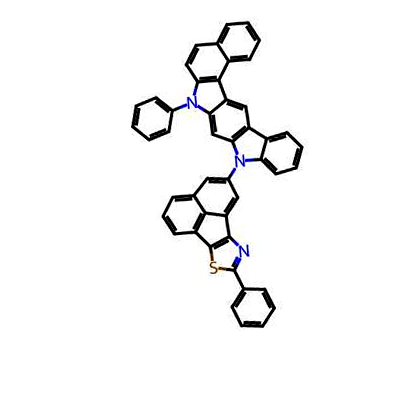 c1ccc(-c2nc3c(s2)-c2cccc4cc(-n5c6ccccc6c6cc7c8c9ccccc9ccc8n(-c8ccccc8)c7cc65)cc-3c24)cc1